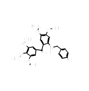 COc1cc(NCc2ccc(C)cc2)c(C(=O)c2cc(OC)c(OC)c(OC)c2)cc1OC